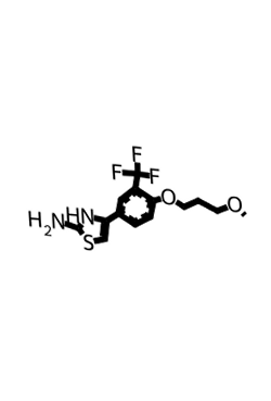 COCCCOc1ccc(C2=CSC(N)N2)cc1C(F)(F)F